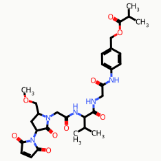 COCC1CC(N2C(=O)C=CC2=O)C(=O)N1CC(=O)NC(C(=O)NCC(=O)Nc1ccc(COC(=O)C(C)C)cc1)C(C)C